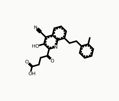 Cc1ccccc1CCc1cccc2c(C#N)c(O)c(C(=O)CCC(=O)O)nc12